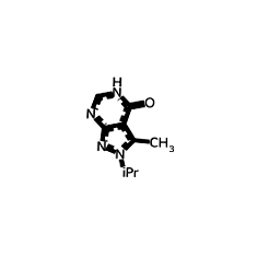 Cc1c2c(=O)[nH]cnc2nn1C(C)C